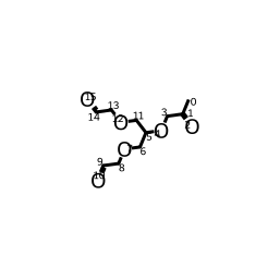 CC(=O)COC(COCC=O)COCC=O